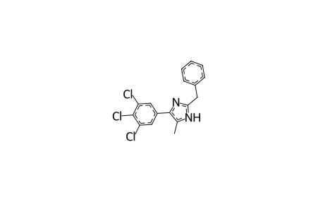 Cc1[nH]c(Cc2ccccc2)nc1-c1cc(Cl)c(Cl)c(Cl)c1